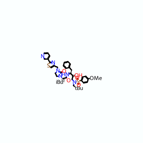 CC[C@H](C)[C@@H](C(=O)N[C@@H](Cc1ccccc1)[C@@H](O)CN(CC(C)(C)C)S(=O)(=O)c1ccc(OC)cc1)N1CCN(Cc2csc(-c3cccnc3)n2)C1=O